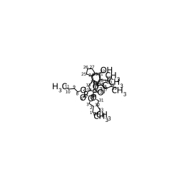 CCCCOP(=O)(OCCCC)C(Cc1cc(C(C)(C)C)c(O)c2c1CCC2)P(=O)(OCCCC)OCCCC